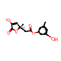 Cc1cc(O)cc(OC(=O)C[C@@]2(C)C=C(O)C(=O)O2)c1